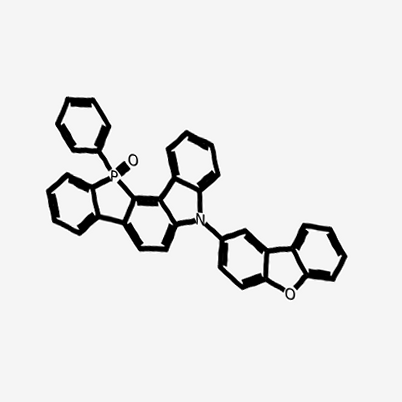 O=P1(c2ccccc2)c2ccccc2-c2ccc3c(c21)c1ccccc1n3-c1ccc2oc3ccccc3c2c1